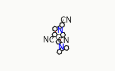 N#Cc1ccc2c(c1)c1ccccc1n2-c1cccc(C#N)c1-c1cccc(C#N)c1-c1ccc(-n2c3ccccc3c3ccccc32)cc1